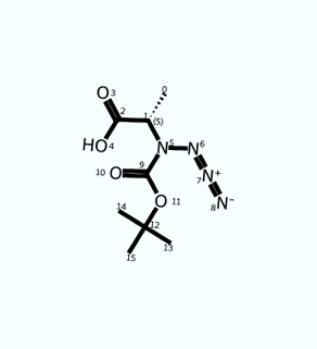 C[C@@H](C(=O)O)N(N=[N+]=[N-])C(=O)OC(C)(C)C